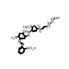 Nc1cc(O)c(/N=N/c2ccc(S(=O)(=O)CCOSOOO)cc2S(=O)(=O)O)cc1/N=N/c1ccccc1S(=O)(=O)O